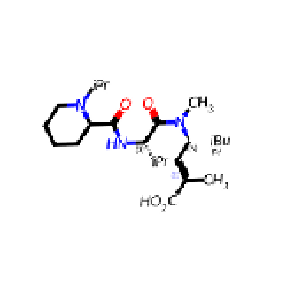 CC[C@H](C)[C@@H](/C=C(\C)C(=O)O)N(C)C(=O)[C@@H](NC(=O)C1CCCCN1C(C)C)C(C)C